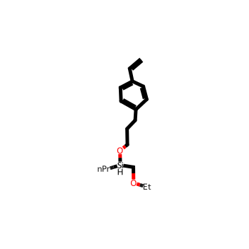 C=Cc1ccc(CCCO[SiH](CCC)COCC)cc1